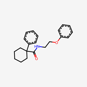 O=C(NCCOc1ccccc1)C1(c2ccccc2)CCCCC1